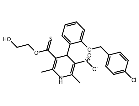 CC1=C(C(=S)OCCO)C(c2ccccc2OCc2ccc(Cl)cc2)C([N+](=O)[O-])=C(C)N1